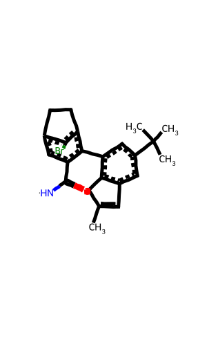 CC1=Cc2cc(C(C)(C)C)cc(-c3c(C([NH])=O)cc4c(Br)c3CC4)c2C1